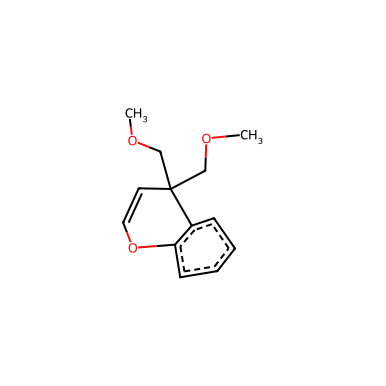 COCC1(COC)C=COc2ccccc21